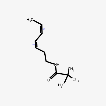 C/C=C\C=C/CCNC(=O)C(C)(C)C